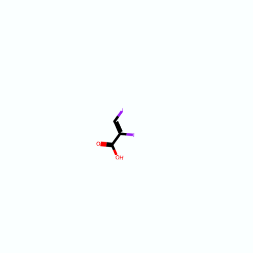 O=C(O)C(I)=CI